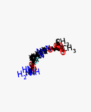 CC(=O)OCC(CCON=C1CN(c2ncc(-c3cccc(COC(=O)NC(=N)N)c3F)cn2)C1)OC(C)=O